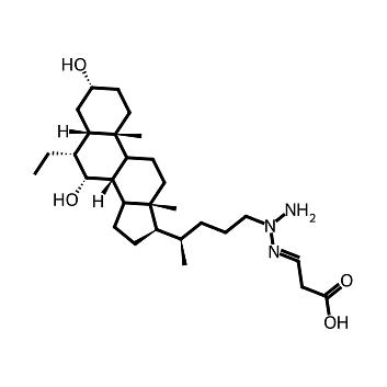 CC[C@H]1[C@@H](O)[C@H]2C3CC[C@H]([C@H](C)CCCN(N)/N=C/CC(=O)O)[C@@]3(C)CCC2[C@@]2(C)CC[C@@H](O)C[C@@H]12